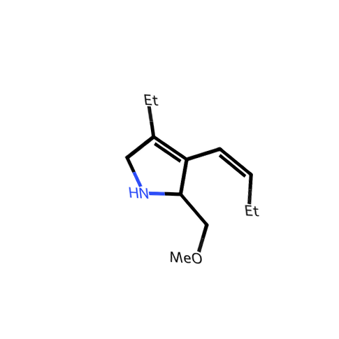 CC/C=C\C1=C(CC)CNC1COC